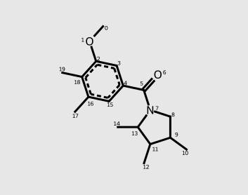 COc1cc(C(=O)N2CC(C)C(C)C2C)cc(C)c1C